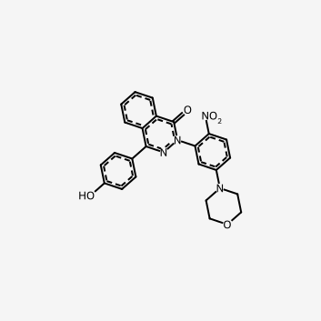 O=c1c2ccccc2c(-c2ccc(O)cc2)nn1-c1cc(N2CCOCC2)ccc1[N+](=O)[O-]